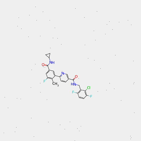 Cc1c(F)cc(C(=O)NC2CC2)cc1-c1ccc(C(=O)NCc2c(F)ccc(F)c2Cl)cn1